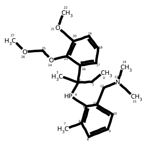 CCC(C)(Pc1c(C)cccc1CN(C)C)c1cccc(OC)c1OCOC